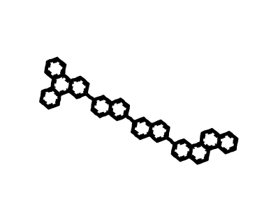 c1ccc2c(c1)ccc1c3cc(-c4ccc5cc(-c6ccc7cc(-c8ccc9c%10ccccc%10c%10ccccc%10c9c8)ccc7c6)ccc5c4)ccc3ccc21